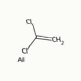 C=C(Cl)Cl.[Al]